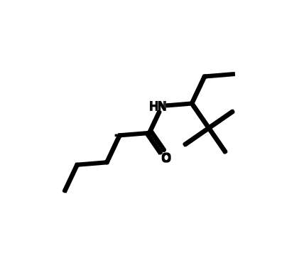 CCC[CH]C(=O)NC(CC)C(C)(C)C